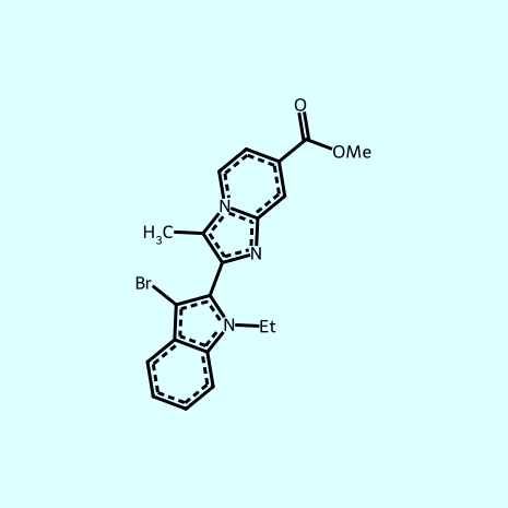 CCn1c(-c2nc3cc(C(=O)OC)ccn3c2C)c(Br)c2ccccc21